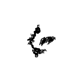 CCCC[C@@H](C)N(CCNCCc1ccc(O)c2c1OCC(=O)N2)C(=O)CCNCCc1cccc(Cl)c1.O=C(O)C(F)(F)F.O=C(O)C(F)(F)F